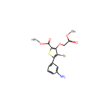 CCCOC(=O)c1sc(-c2cccc(N)c2)c(Br)c1OCC(=O)OC(C)(C)C